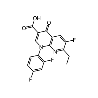 CCc1nc2c(cc1F)c(=O)c(C(=O)O)cn2-c1ccc(F)cc1F